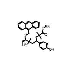 C/C=C(/OCc1c2ccccc2cc2ccccc12)C(C)(CC)CC(CC(C)(C)C(=O)OC(C)(C)C)c1ccc(O)cc1